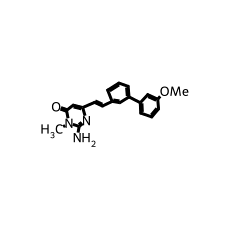 COc1cccc(-c2cccc(C=Cc3cc(=O)n(C)c(N)n3)c2)c1